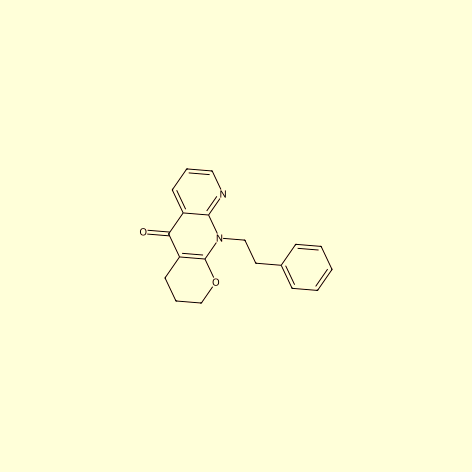 O=c1c2c(n(CCc3ccccc3)c3ncccc13)OCCC2